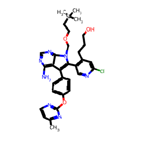 Cc1ccnc(Oc2ccc(-c3c(-c4cnc(Cl)cc4CCCO)n(COCC[Si](C)(C)C)c4ncnc(N)c34)cc2)n1